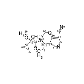 CC[C@H]1c2cncc(C#N)c2OCCN1C(=O)C(C)(OC)C1CC1